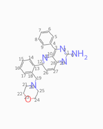 Nc1nc(-c2ccccc2)c2nc(-c3ccccc3CN3CCOCC3)ccc2n1